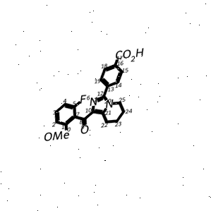 COc1cccc(F)c1C(=O)c1nc(-c2ccc(C(=O)O)cc2)n2c1CCCC2